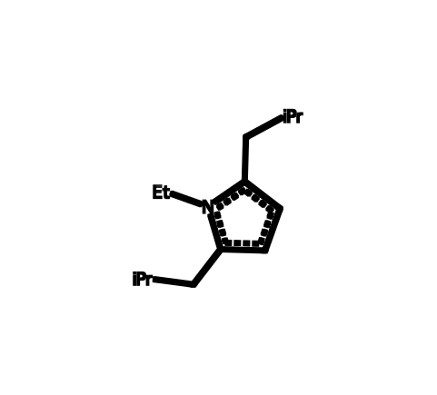 CCn1c(CC(C)C)ccc1CC(C)C